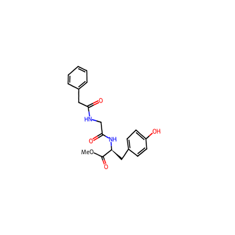 COC(=O)[C@H](Cc1ccc(O)cc1)NC(=O)CNC(=O)Cc1ccccc1